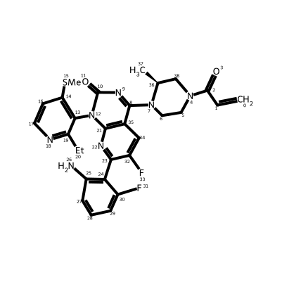 C=CC(=O)N1CCN(c2nc(=O)n(-c3c(SC)ccnc3CC)c3nc(-c4c(N)cccc4F)c(F)cc23)[C@@H](C)C1